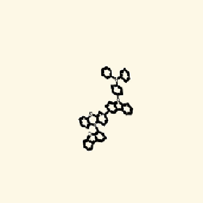 c1ccc(N(c2ccccc2)c2ccc(-n3c4ccccc4c4cc(-c5ccc6c(c5)Oc5ccccc5N6c5cccc6c5oc5ccccc56)ccc43)cc2)cc1